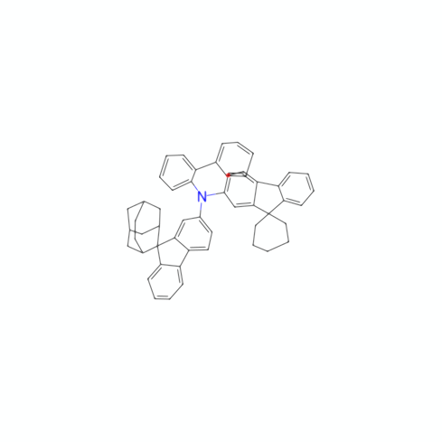 c1ccc(-c2ccccc2N(c2ccc3c(c2)C2(CCCCC2)c2ccccc2-3)c2ccc3c(c2)C2(c4ccccc4-3)C3CCC4CC(C3)CC2C4)cc1